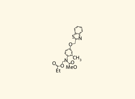 CCC(=O)OCN(C(=O)OC)c1ccc(OCc2nc3ccccc3s2)cc1C